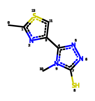 Cc1nc(-c2nnc(S)n2C)cs1